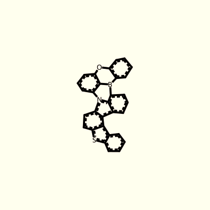 c1ccc2c(c1)Oc1cccc3c1B2c1cccc2c4c5c(ccc4n-3c12)sc1ccccc15